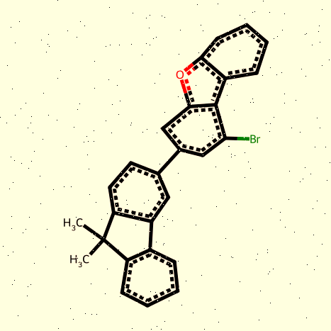 CC1(C)c2ccccc2-c2cc(-c3cc(Br)c4c(c3)oc3ccccc34)ccc21